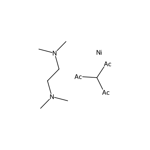 CC(=O)C(C(C)=O)C(C)=O.CN(C)CCN(C)C.[Ni]